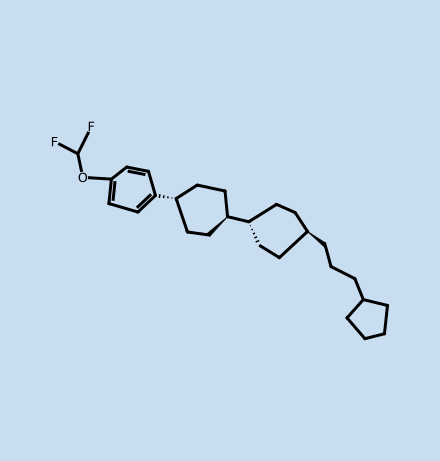 FC(F)Oc1ccc([C@H]2CC[C@H]([C@H]3CC[C@H](CCCC4CCCC4)CC3)CC2)cc1